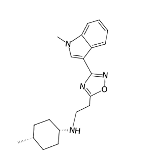 Cn1cc(-c2noc(CCN[C@H]3CC[C@@H](C)CC3)n2)c2ccccc21